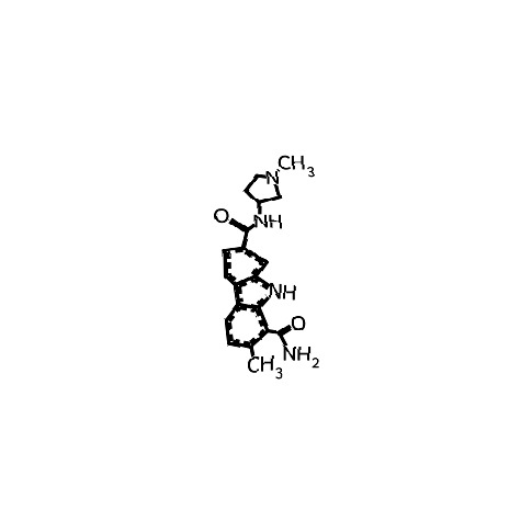 Cc1ccc2c([nH]c3cc(C(=O)NC4CCN(C)C4)ccc32)c1C(N)=O